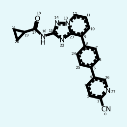 N#Cc1ccc(-c2ccc(-c3cccn4nc(NC(=O)C5CC5)nc34)cc2)cn1